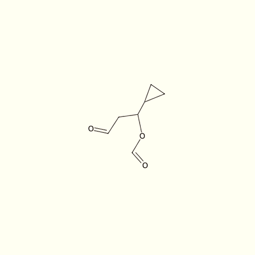 O=CCC(OC=O)C1CC1